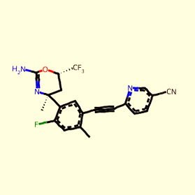 Cc1cc(F)c([C@]2(C)C[C@@H](C(F)(F)F)OC(N)=N2)cc1C#Cc1ccc(C#N)cn1